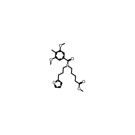 COC(=O)CCCCN(CCCc1ccco1)C(=O)c1cc(OC)c(C)c(OC)c1